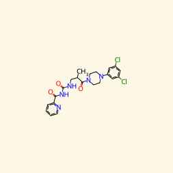 CC(CNC(=O)NC(=O)c1ccccn1)C(=O)N1CCN(c2cc(Cl)cc(Cl)c2)CC1